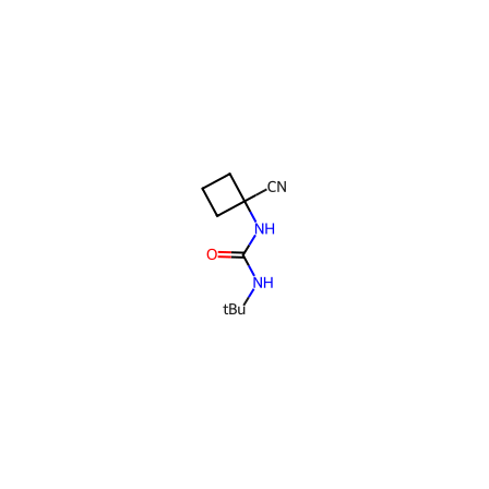 CC(C)(C)NC(=O)NC1(C#N)CCC1